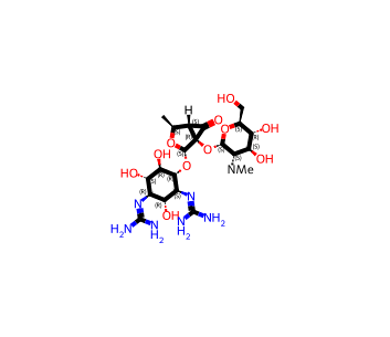 CN[C@@H]1[C@H](O[C@]23C(=O)[C@H]2[C@H](C)O[C@H]3O[C@H]2[C@H](O)[C@@H](O)[C@H](N=C(N)N)[C@@H](O)[C@@H]2N=C(N)N)O[C@@H](CO)[C@H](O)[C@H]1O